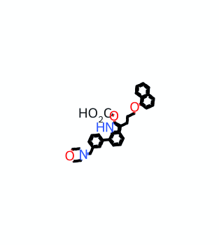 O=C(O)Oc1[nH]c2c(-c3cccc(CN4CCOCC4)c3)cccc2c1CCCOc1cccc2ccccc12